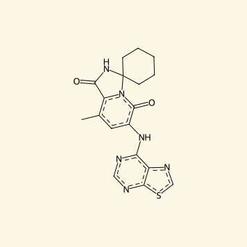 Cc1cc(Nc2ncnc3scnc23)c(=O)n2c1C(=O)NC21CCCCC1